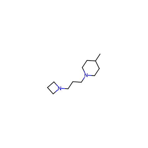 CC1CCN(CCCN2CCC2)CC1